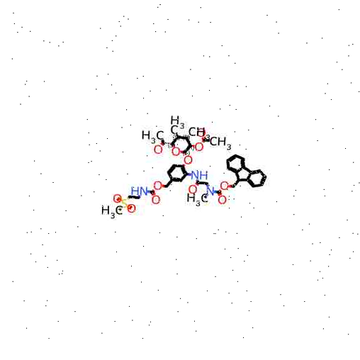 CC(=O)O[C@H]1[C@H](Oc2ccc(COC(=O)NCCS(C)(=O)=O)cc2NC(=O)CN(C)C(=O)OCC2c3ccccc3-c3ccccc32)O[C@H](C(C)=O)[C@@H](C)[C@@H]1C